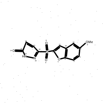 COc1ccc2oc(S(=O)(=O)c3ccc(=O)[nH]n3)cc2c1